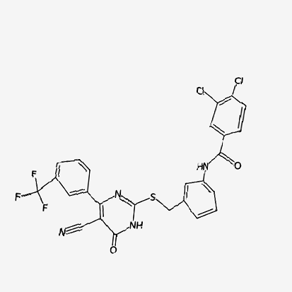 N#Cc1c(-c2cccc(C(F)(F)F)c2)nc(SCc2cccc(NC(=O)c3ccc(Cl)c(Cl)c3)c2)[nH]c1=O